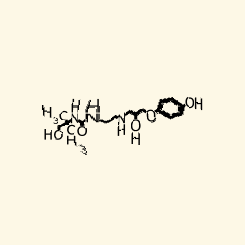 CC(C)(CO)NC(=O)NCCNCC(O)COc1ccc(O)cc1